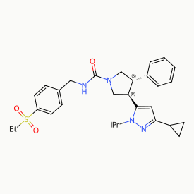 CCS(=O)(=O)c1ccc(CNC(=O)N2C[C@H](c3ccccc3)[C@@H](c3cc(C4CC4)nn3C(C)C)C2)cc1